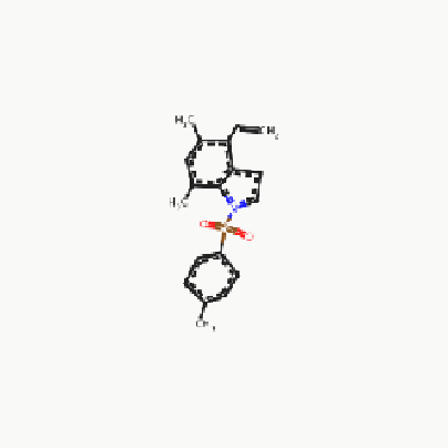 C=Cc1c(C)cc(C)c2c1ccn2S(=O)(=O)c1ccc(C)cc1